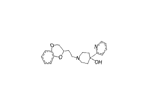 OC1(c2ccccn2)CCN(CCC2COc3ccccc3O2)CC1